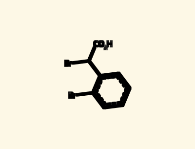 O=C(O)C(Br)c1ccccc1Br